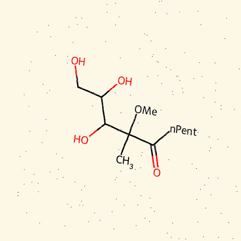 CCCCCC(=O)C(C)(OC)C(O)C(O)CO